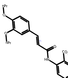 CCCOc1ccc(/C=C/C(=O)Nc2ccccc2C(=O)O)cc1OCCC